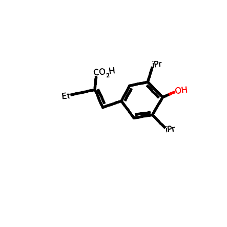 CCC(=Cc1cc(C(C)C)c(O)c(C(C)C)c1)C(=O)O